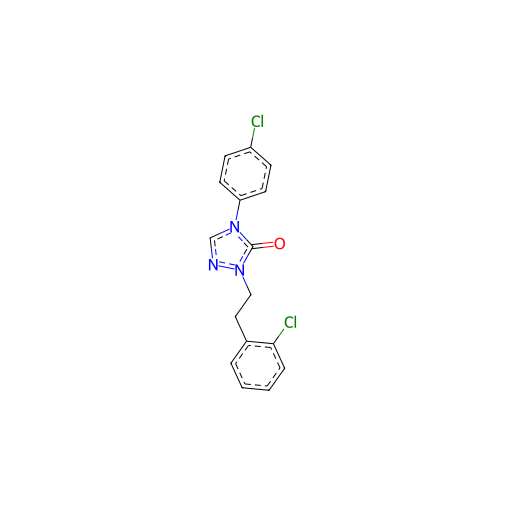 O=c1n(-c2ccc(Cl)cc2)cnn1CCc1ccccc1Cl